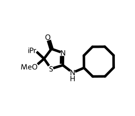 COC1(C(C)C)SC(NC2CCCCCCC2)=NC1=O